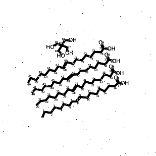 CCCCCCCCC=CCCCCCCCC(=O)O.CCCCCCCCC=CCCCCCCCC(=O)O.CCCCCCCCC=CCCCCCCCC(=O)O.CCCCCCCCC=CCCCCCCCC(=O)O.OCC(CO)(CO)CO